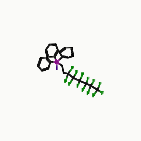 FC(F)(F)C(F)(F)C(F)(F)C(F)(F)C(F)(F)C(F)(F)CCP(I)(c1ccccc1)(c1ccccc1)c1ccccc1